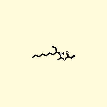 C=CC(=O)OC(C)NC(CC)CCCCCCC